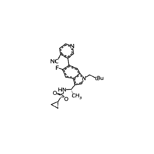 C[C@H](NS(=O)(=O)C1CC1)c1cn(CC(C)(C)C)c2cc(-c3cnccc3C#N)c(F)cc12